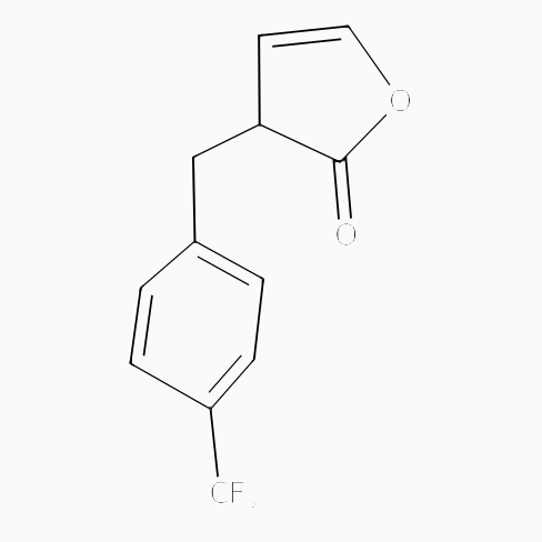 O=C1OC=CC1Cc1ccc(C(F)(F)F)cc1